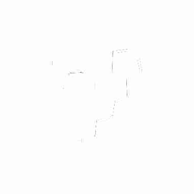 C=C(CC)C(=O)O.O=C(O)C=CC=Cc1ccccc1